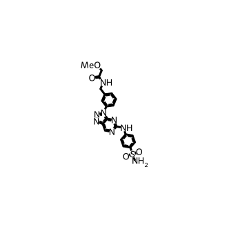 COCC(=O)NCc1cccc(-n2nnc3cnc(Nc4ccc(S(N)(=O)=O)cc4)nc32)c1